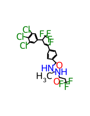 C[C@H](NC(=O)CC(F)(F)F)NC(=O)c1ccc(/C(F)=C/C(c2cc(Cl)c(Cl)c(Cl)c2)C(F)(F)F)cc1